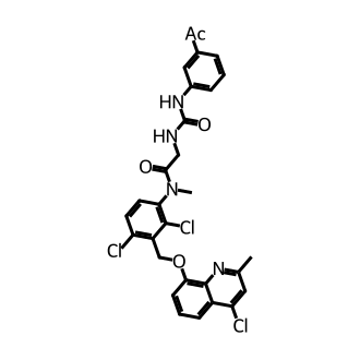 CC(=O)c1cccc(NC(=O)NCC(=O)N(C)c2ccc(Cl)c(COc3cccc4c(Cl)cc(C)nc34)c2Cl)c1